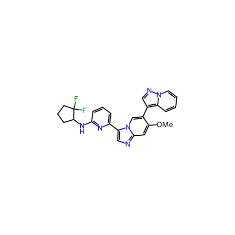 COc1cc2ncc(-c3cccc(NC4CCCC4(F)F)n3)n2cc1-c1cnn2ccccc12